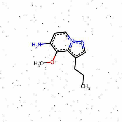 CCCc1cnn2ccc(N)c(OC)c12